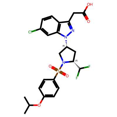 CC(C)Oc1ccc(S(=O)(=O)N2C[C@H](n3nc(CC(=O)O)c4ccc(Cl)cc43)C[C@@H]2C(F)F)cc1